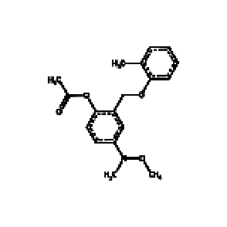 CON(C)c1ccc(OC(C)=O)c(COc2ccccc2C)c1